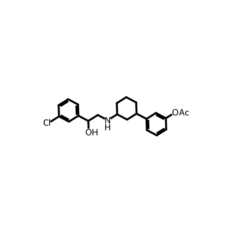 CC(=O)Oc1cccc(C2CCCC(NCC(O)c3cccc(Cl)c3)C2)c1